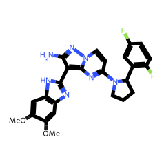 COc1cc2nc(-c3c(N)nn4ccc(N5CCCC5c5cc(F)ccc5F)nc34)[nH]c2cc1OC